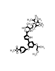 COC[C@H](C)Oc1cc(Oc2ccc(S(C)(=O)=O)nc2)cc(-c2ccc(C(=O)N[C@H](CO[Si](C(C)C)(C(C)C)C(C)C)[C@@H](C)O)[nH]2)c1